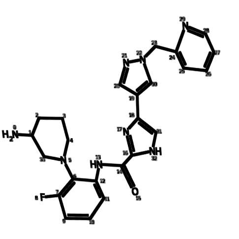 NC1CCCN(c2c(F)cccc2NC(=O)c2nc(-c3cnn(Cc4ccccn4)c3)c[nH]2)C1